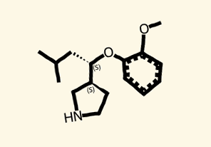 COc1ccccc1O[C@@H](CC(C)C)[C@H]1CCNC1